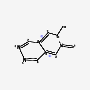 C=N/C=c1/cnnc/c1=C/CC